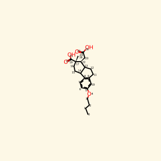 CCCCOc1ccc2c(c1)CCC1C2CC[C@](C)(C(=O)O)[C@H]1CC(=O)O